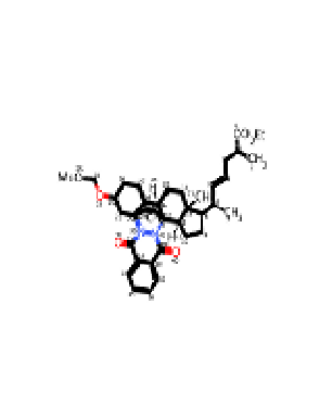 CCOC(=O)C(C)C/C=C/[C@@H](C)[C@H]1CC[C@@H]2[C@]1(C)CC[C@H]1[C@@]23C=CC2(CC(OCOC)CC[C@]12C)n1c(=O)c2ccccc2c(=O)n13